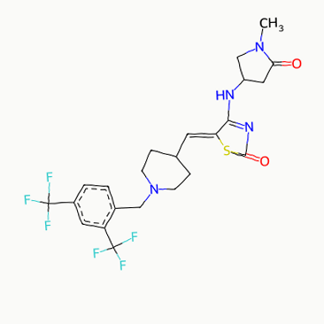 CN1CC(NC2=NC(=O)SC2=CC2CCN(Cc3ccc(C(F)(F)F)cc3C(F)(F)F)CC2)CC1=O